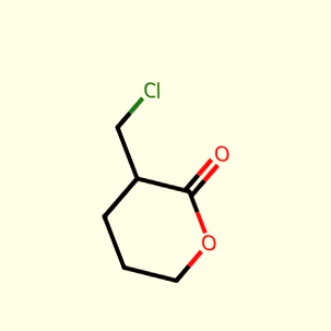 O=C1OCCCC1CCl